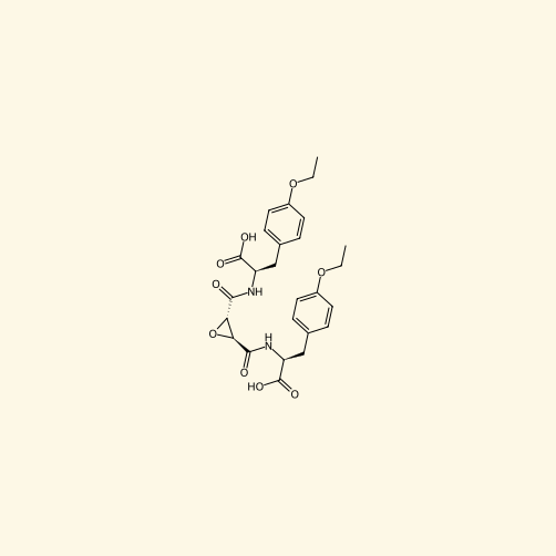 CCOc1ccc(C[C@H](NC(=O)[C@H]2O[C@@H]2C(=O)N[C@H](Cc2ccc(OCC)cc2)C(=O)O)C(=O)O)cc1